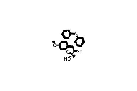 COc1ccc(CC(S)S(=O)(=O)O)cc1.c1ccc(Sc2ccccc2)cc1